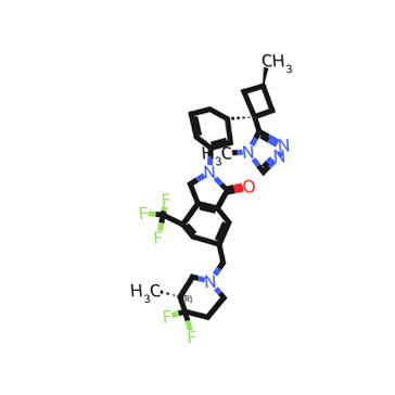 C[C@@H]1CN(Cc2cc3c(c(C(F)(F)F)c2)CN(C2=CC([C@]4(c5nncn5C)C[C@@H](C)C4)CC=C2)C3=O)CCC1(F)F